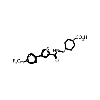 O=C(NC[C@H]1CC[C@H](C(=O)O)CC1)c1cc(-c2ccc(OC(F)(F)F)cc2)cs1